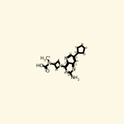 CN(C(=O)O)C1CN(c2nc(N)nc3cc(C4CCCC4)cnc23)C1